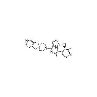 Cc1nccc(-c2c(C)nc(N3CCC4(CC3)Cc3ccncc3C4)c3ccnn23)c1Cl